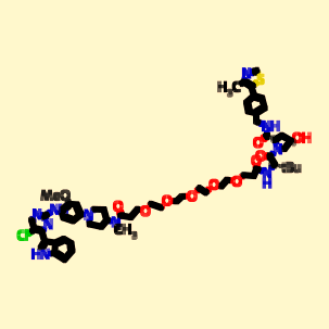 COc1cc(N2CCC(N(C)C(=O)CCOCCOCCOCCOCCOCCC(=O)N[C@H](C(=O)N3C[C@H](O)C[C@H]3C(=O)NCc3ccc(-c4scnc4C)cc3)C(C)(C)C)CC2)ccc1Nc1ncc(Cl)c(-c2c[nH]c3ccccc23)n1